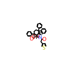 COc1ccccc1[C@]1(O)CCC(c2ccccc2)(c2ccccc2)[C@H]2CN(C(=O)Cc3ccsc3)C[C@H]21